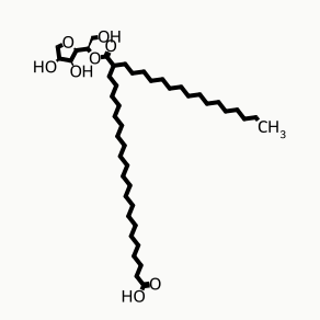 CCCCCCCCCCCCCCCCC(CCCCCCCCCCCCCCCCCCCCCC(=O)O)C(=O)O[C@H](CO)[C@H]1OC[C@H](O)[C@H]1O